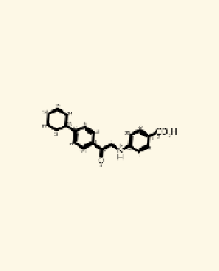 O=C(O)c1ccc(NCC(=O)c2ccc(C3CCCCC3)cc2)cc1